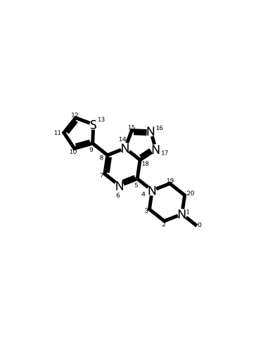 CN1CCN(c2ncc(-c3cccs3)n3cnnc23)CC1